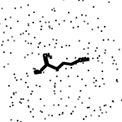 C=C(SCCOC)C(C)(C)C